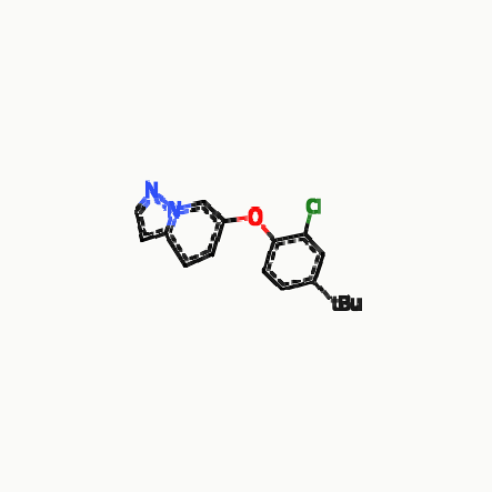 CC(C)(C)c1ccc(Oc2ccc3ccnn3c2)c(Cl)c1